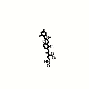 COC(=O)C(CCNC=O)C(C)Cc1ccc(Cl)c(Cc2cc3c(C)cc(C)cc3n2C)c1Cl